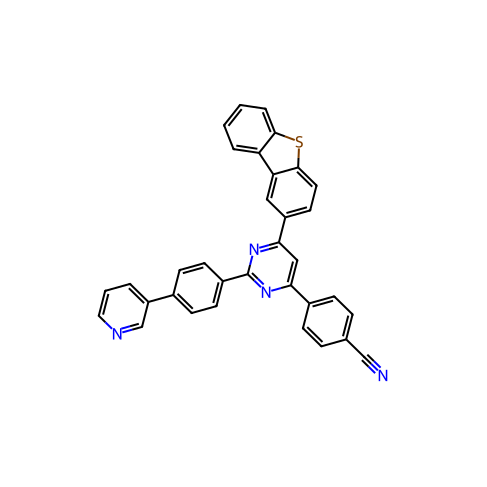 N#Cc1ccc(-c2cc(-c3ccc4sc5ccccc5c4c3)nc(-c3ccc(-c4cccnc4)cc3)n2)cc1